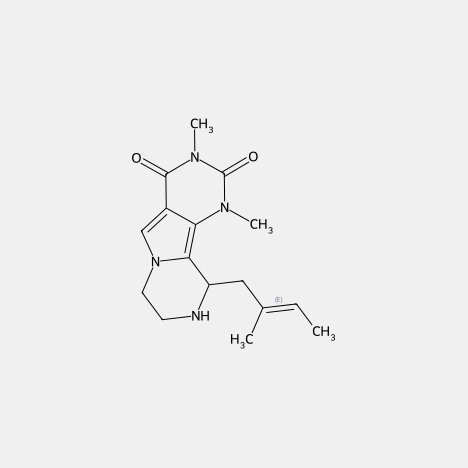 C/C=C(\C)CC1NCCn2cc3c(=O)n(C)c(=O)n(C)c3c21